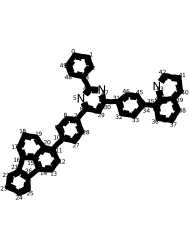 c1ccc(-c2nc(-c3ccc(-c4ccc5c6c(cccc46)-c4ccccc4-5)cc3)cc(-c3ccc(-c4cccc5cccnc45)cc3)n2)cc1